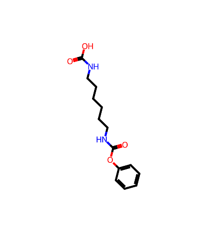 O=C(O)NCCCCCCNC(=O)Oc1ccccc1